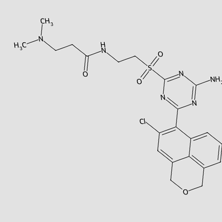 CN(C)CCC(=O)NCCS(=O)(=O)c1nc(N)nc(-c2c(Cl)cc3c4c(cccc24)COC3)n1